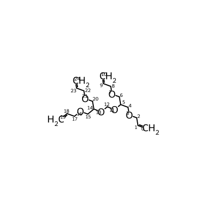 C=CCOCC(COCC=C)OCOC(COCC=C)COCC=C